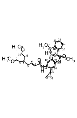 COCCN(CC=CC(=O)Nc1cc2c(NC(C)c3ccccc3)nc(OC)nc2cc1C1CC1)CCOC